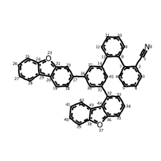 N#Cc1ccccc1-c1ccccc1-c1cc(-c2ccc3c(c2)oc2ccccc23)cc(-c2cccc3oc4ccccc4c23)c1